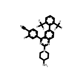 N#Cc1ccc(-c2nc(N3CCC(N)CC3)nc3ccc(-c4c(C(F)(F)F)cccc4C(F)(F)F)cc23)cc1F